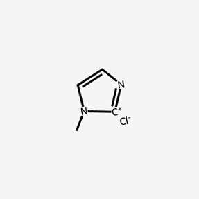 CN1[C+]=NC=C1.[Cl-]